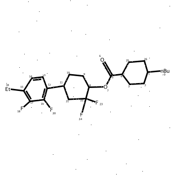 CCCCC1CCC(C(=O)OC2CCC(c3ccc(CC)c(F)c3F)CC2(F)F)CC1